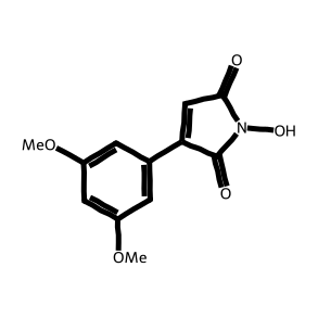 COc1cc(OC)cc(C2=CC(=O)N(O)C2=O)c1